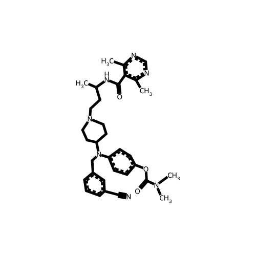 Cc1ncnc(C)c1C(=O)NC(C)CCN1CCC(N(Cc2cccc(C#N)c2)c2ccc(OC(=O)N(C)C)cc2)CC1